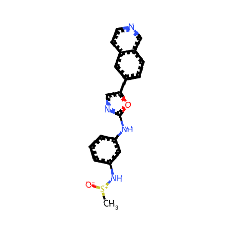 C[S+]([O-])Nc1cccc(Nc2ncc(-c3ccc4cnccc4c3)o2)c1